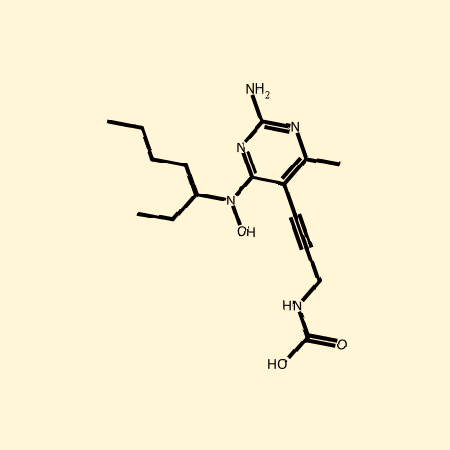 CCCCC(CC)N(O)c1nc(N)nc(C)c1C#CCNC(=O)O